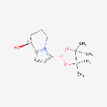 CC1(C)OB(c2ccc3n2CCC[C@@H]3O)OC1(C)C